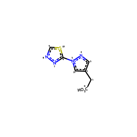 O=C(O)Cc1cnn(-c2nncs2)c1